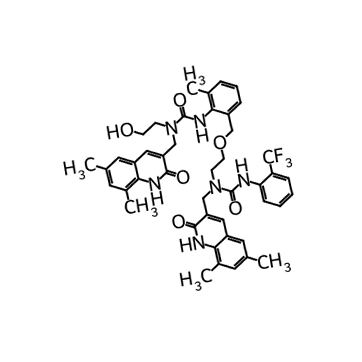 Cc1cc(C)c2[nH]c(=O)c(CN(CCOCc3cccc(C)c3NC(=O)N(CCO)Cc3cc4cc(C)cc(C)c4[nH]c3=O)C(=O)Nc3ccccc3C(F)(F)F)cc2c1